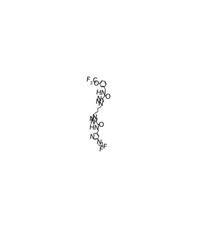 O=C(NCc1cccc(OC(F)(F)F)c1)c1cn(CCCCn2cc(C(=O)NCc3cncc(N4CC(F)(F)C4)c3)nn2)nn1